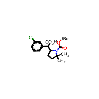 CC(C)(C)OC(=O)N1C(C(C(=O)O)c2cccc(Cl)c2)CCC1(C)C